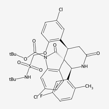 Cc1ccc(F)cc1[C@@H]1NC(=O)C[C@H](c2cc(Cl)ccc2OCS(=O)(=O)NC(C)(C)C)[C@@]12C(=O)N(C(=O)OC(C)(C)C)c1cc(Cl)ccc12